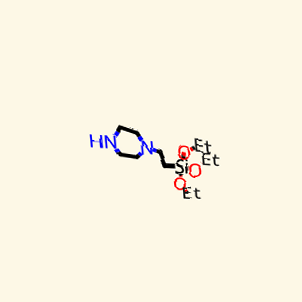 CCO[Si](CCN1CCNCC1)(OCC)OCC